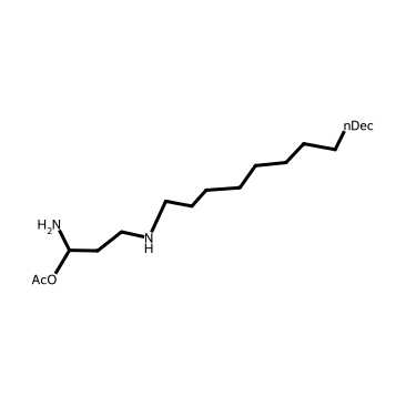 CCCCCCCCCCCCCCCCCCNCCC(N)OC(C)=O